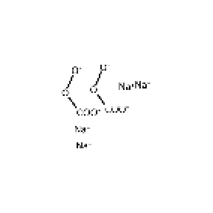 O=C([O-])O[O-].O=C([O-])O[O-].[Na+].[Na+].[Na+].[Na+]